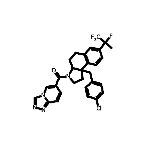 CC(F)(c1ccc2c(c1)CCC1N(C(=O)c3ccc4nncn4c3)CCC21Cc1ccc(Cl)cc1)C(F)(F)F